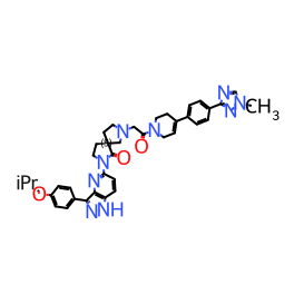 CC(C)Oc1ccc(-c2n[nH]c3ccc(N4CC[C@]5(CCN(CC(=O)N6CC=C(c7ccc(-c8ncn(C)n8)cc7)CC6)C5)C4=O)nc23)cc1